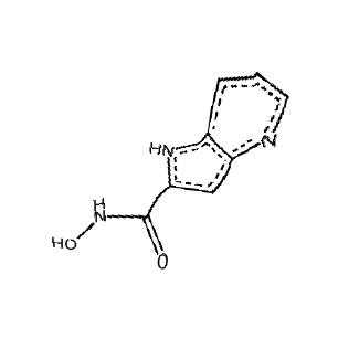 O=C(NO)c1cc2ncccc2[nH]1